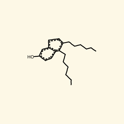 CCCCCCc1ccc2cc(O)ccc2c1CCCCCC